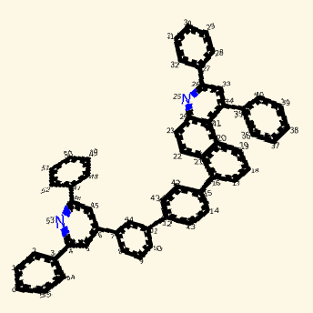 c1ccc(-c2cc(-c3cccc(-c4ccc(-c5cccc6c5ccc5nc(-c7ccccc7)cc(-c7ccccc7)c56)cc4)c3)cc(-c3ccccc3)n2)cc1